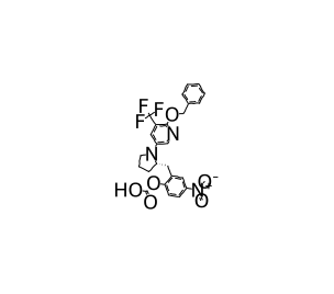 O=C(O)Oc1ccc([N+](=O)[O-])cc1C[C@@H]1CCCN1c1cnc(OCc2ccccc2)c(C(F)(F)F)c1